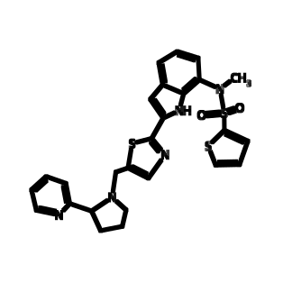 CN(c1cccc2cc(-c3ncc(CN4CCCC4c4ccccn4)s3)[nH]c12)S(=O)(=O)c1cccs1